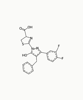 O=C(O)C1CSC(n2nc(-c3ccc(F)c(F)c3)c(Cc3ccccc3)c2O)=N1